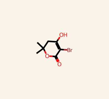 CC1(C)CC(O)=C(Br)C(=O)O1